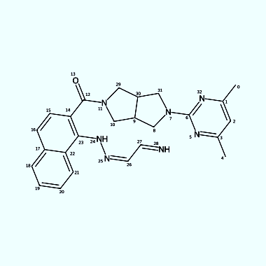 Cc1cc(C)nc(N2CC3CN(C(=O)c4ccc5ccccc5c4N/N=C\C=N)CC3C2)n1